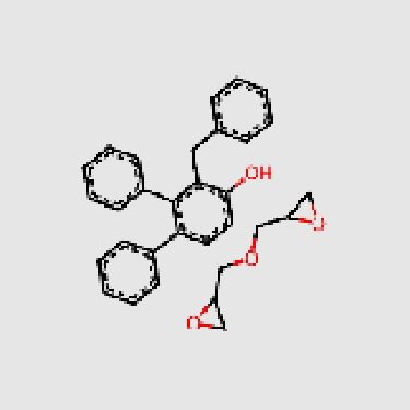 C(OCC1CO1)C1CO1.Oc1ccc(-c2ccccc2)c(-c2ccccc2)c1Cc1ccccc1